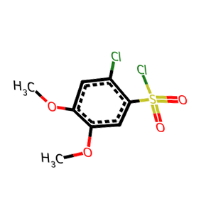 COc1cc(Cl)c(S(=O)(=O)Cl)cc1OC